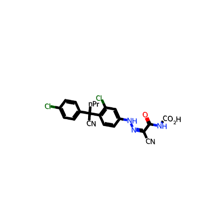 CCCC(C#N)(c1ccc(Cl)cc1)c1ccc(NN=C(C#N)C(=O)NC(=O)O)cc1Cl